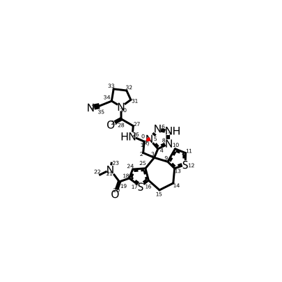 C[C@H](CC1(c2nn[nH]n2)c2ccsc2CCc2sc(C(=O)N(C)C)cc21)NCC(=O)N1CCCC1C#N